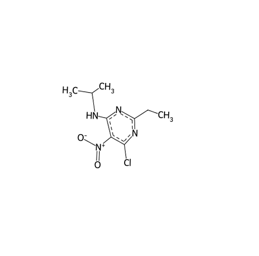 CCc1nc(Cl)c([N+](=O)[O-])c(NC(C)C)n1